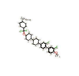 CCCCCC1CCC(C(F)(F)OC2CCC(C3CCC(c4ccc(-c5ccc(OC(F)(F)F)c(F)c5)c(F)c4)CC3)CC2)CC1